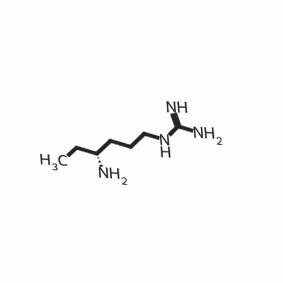 CC[C@@H](N)CCCNC(=N)N